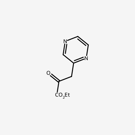 CCOC(=O)C(=O)Cc1cnccn1